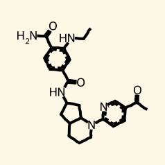 CCNc1cc(C(=O)NC2CC3CCCN(c4ccc(C(C)=O)cn4)C3C2)ccc1C(N)=O